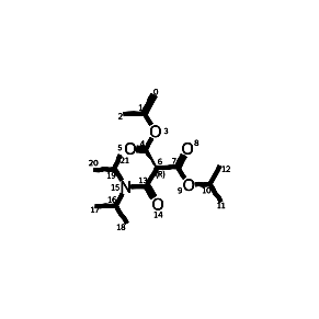 C=C(C)OC(=O)[C@@H](C(=O)OC(C)C)C(=O)N(C(C)C)C(C)C